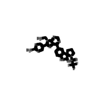 CCn1c(-c2cnc(C)nc2)nc2c(-c3ccc4c(c3)C3(CCCN3S(=O)(=O)C(F)(F)F)C(=O)N4)ncnc21